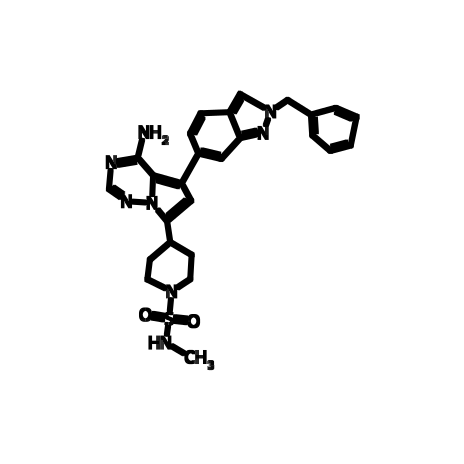 CNS(=O)(=O)N1CCC(c2cc(-c3ccc4cn(Cc5ccccc5)nc4c3)c3c(N)ncnn23)CC1